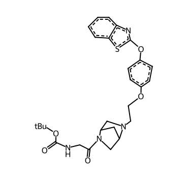 CC(C)(C)OC(=O)NCC(=O)N1CC2CC1CN2CCOc1ccc(Oc2nc3ccccc3s2)cc1